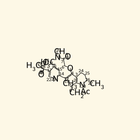 C=CC1=C(/C(OCC(=O)N(C)C)=C(\C)c2ccc(S(C)(=O)=O)cn2)CC[C@H](C)N1C(C)=O